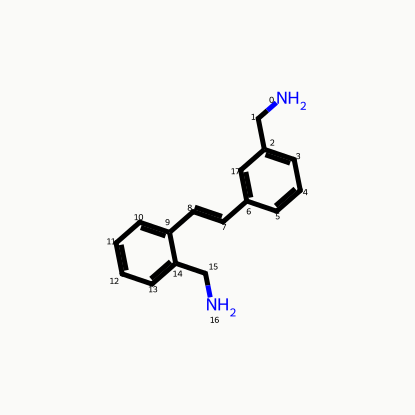 NCc1cccc(C=Cc2ccccc2CN)c1